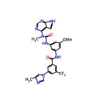 COc1cc(NC(=O)c2cc(-n3cnc(C)c3)cc(C(F)(F)F)c2)cc(NC(=O)N(C)c2ncnc3[nH]ccc23)c1